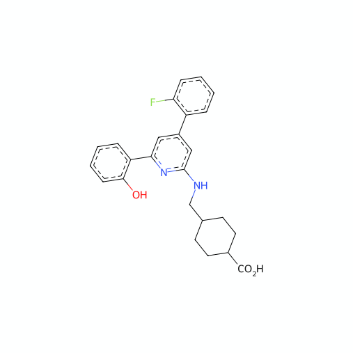 O=C(O)C1CCC(CNc2cc(-c3ccccc3F)cc(-c3ccccc3O)n2)CC1